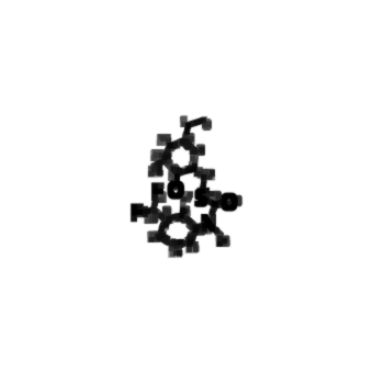 CCc1ccc(OCc2c(C(F)F)cccc2N(C)C(=O)SC)c(C)c1